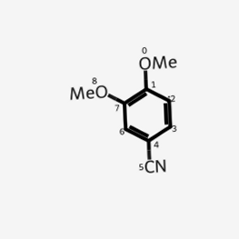 COc1[c]cc(C#N)cc1OC